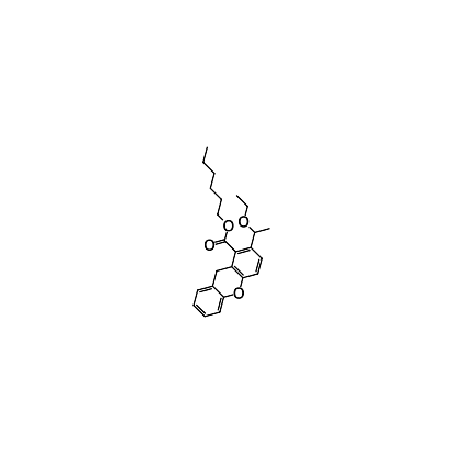 CCCCCCOC(=O)c1c(C(C)OCC)ccc2c1Cc1ccccc1O2